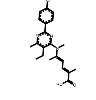 CCc1c(C)nc(-c2ccc(Cl)cc2)nc1N(C)/C(C)=C/C=C(\C)C(=O)O